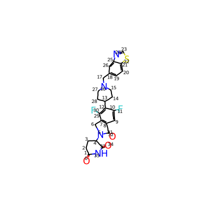 O=C1CCC(N2Cc3c(cc(F)c(C4CCN(Cc5ccc6scnc6c5)CC4)c3F)C2=O)C(=O)N1